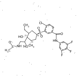 CCC1C[C@@H](S(=O)(=O)c2cc(C(=O)Nc3cc(F)c(F)c(F)c3)ccc2Cl)C[C@H](C)[C@@]1(O)C(O)CN[S+](C)[O-]